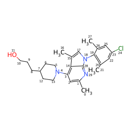 Cc1cc(N2CCC(CCCO)CC2)c2c(C)cn(-c3c(C)cc(Cl)cc3C)c2n1